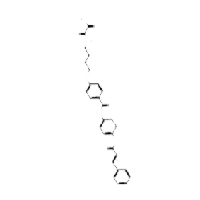 C=C(C)C(=O)OCCCCOc1ccc(C(=O)OC2=CC=C(OC(=O)/C=C/c3ccccc3)CC2)cc1